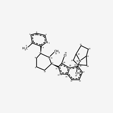 Cc1cccnc1[C@@H]1CCC[C@H](c2nc3cccc(N4C5CCC4CN(C)C5)n3c2Cl)N1C